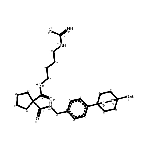 COC12CCC(c3ccc(CNC(=O)C4(C(=O)N[CH]CCCNC(=N)N)CCCC4)cc3)(CC1)CC2